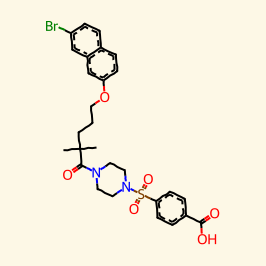 CC(C)(CCCOc1ccc2ccc(Br)cc2c1)C(=O)N1CCN(S(=O)(=O)c2ccc(C(=O)O)cc2)CC1